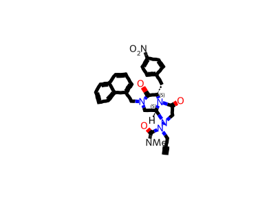 C#CCN(C(=O)NC)N1CC(=O)N2[C@@H](Cc3ccc([N+](=O)[O-])cc3)C(=O)N(Cc3cccc4ccccc34)C[C@@H]21